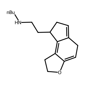 CCCCNCCC1CC=C2CC=C3OCCC3=C21